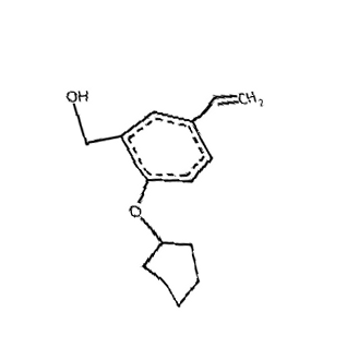 C=Cc1ccc(OC2CCCC2)c(CO)c1